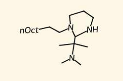 CCCCCCCCCCN1CCCNC1C(C)(C)N(C)C